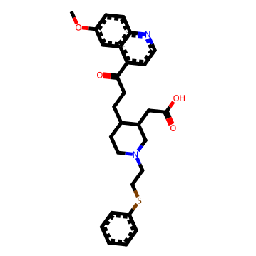 COc1ccc2nccc(C(=O)CCC3CCN(CCSc4ccccc4)CC3CC(=O)O)c2c1